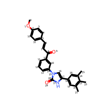 COc1ccc(C=CC(=O)c2cccc(-n3cc(-c4cc(C)c(C)c(C)c4)[nH]c3=O)c2)cc1